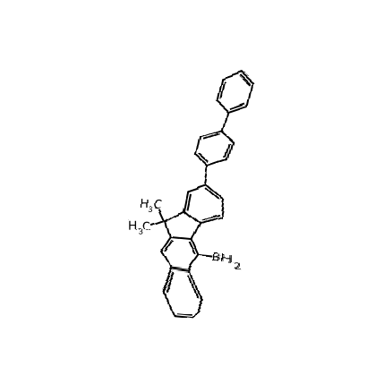 Bc1c2c(cc3ccccc13)C(C)(C)c1cc(-c3ccc(-c4ccccc4)cc3)ccc1-2